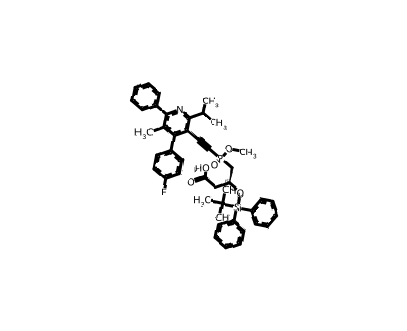 COP(=O)(C#Cc1c(C(C)C)nc(-c2ccccc2)c(C)c1-c1ccc(F)cc1)C[C@H](CC(=O)O)O[Si](c1ccccc1)(c1ccccc1)C(C)(C)C